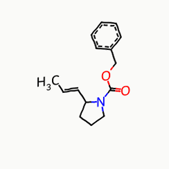 CC=CC1CCCN1C(=O)OCc1ccccc1